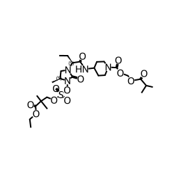 CCOC(=O)C(C)(C)COS(=O)(=O)ON1C(=O)N([C@@H](CC)C(=O)NC2CCN(C(=O)OCOC(=O)C(C)C)CC2)C[C@@H]1C